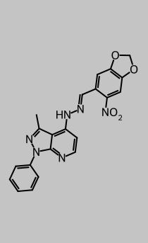 Cc1nn(-c2ccccc2)c2nccc(NN=Cc3cc4c(cc3[N+](=O)[O-])OCO4)c12